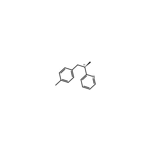 Cc1ccc(C[C@@H](C)c2ccccn2)cc1